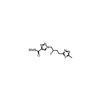 CNC(=O)c1cn(CC(F)CCc2nnc(C)s2)nn1